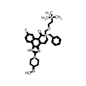 C[Si](C)(C)CCOC[N+]1(Cc2ccccc2)C=Cc2c(c3cc(F)ccc3c3[nH]c(N4CCC(=NO)CC4)nc23)C1=O